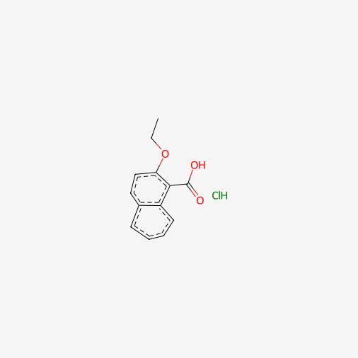 CCOc1ccc2ccccc2c1C(=O)O.Cl